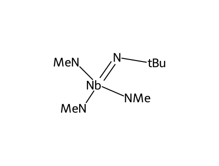 C[NH][Nb](=[N]C(C)(C)C)([NH]C)[NH]C